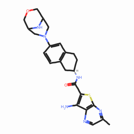 Cc1cnc2c(N)c(C(=O)N[C@H]3CCc4cc(N5CC6COCC(C5)N6)ccc4C3)sc2n1